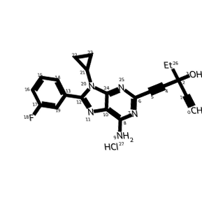 C#CC(O)(C#Cc1nc(N)c2nc(-c3cccc(F)c3)n(C3CC3)c2n1)CC.Cl